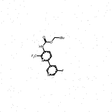 CC(C)(C)COC(=O)Nc1ccc(-c2cncc(F)c2)nc1C(F)(F)F